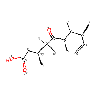 C=C[C@H](C)C(C)[C@@H](C)C(=O)C(C)(C)[C@@H](C)CC(=O)O